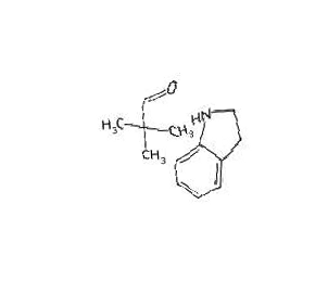 CC(C)(C)C=O.c1ccc2c(c1)CCN2